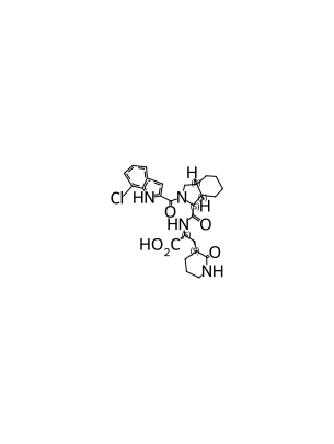 O=C1NCCC[C@H]1C[C@H](NC(=O)[C@@H]1[C@H]2CCCC[C@H]2CN1C(=O)c1cc2cccc(Cl)c2[nH]1)C(=O)O